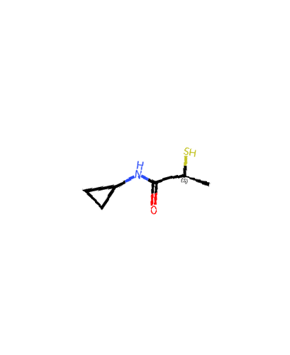 C[C@H](S)C(=O)NC1CC1